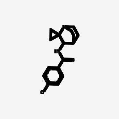 O=C(NC1C2CCN(CC2)C12CC2)c1ccc(Cl)cc1